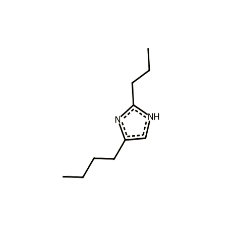 CCCCc1c[nH]c(CCC)n1